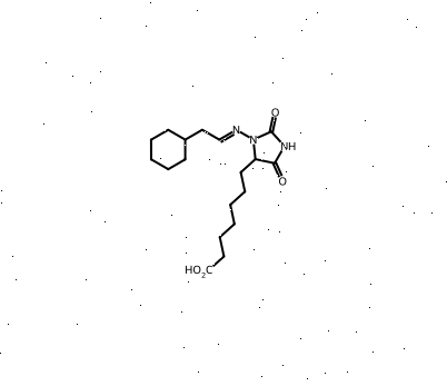 O=C(O)CCCCCCC1C(=O)NC(=O)N1N=CCC1CCCCC1